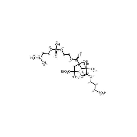 CCOC(=O)C(C)(C)CC(C)(CC(C)(Br)C(=O)OCCSS(=O)(=O)O)C(=O)OCCOP(=O)(O)OCCN(C)C